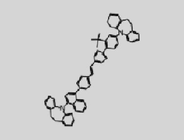 CC(C)(C)c1cc(N2C3=C(C=CCC3)CCc3ccccc32)ccc1-c1ccc(/C=C/c2ccc(-c3ccc(N4c5ccccc5CCc5ccccc54)c4ccccc34)cc2)cc1